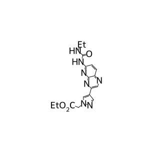 CCNC(=O)Nc1ccc2ncc(-c3cnn(CC(=O)OCC)c3)nc2n1